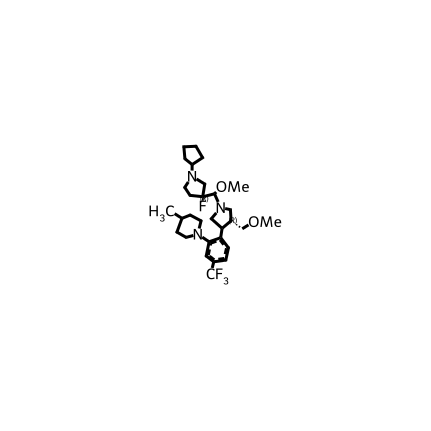 COC[C@H]1CN(C(OC)[C@@]2(F)CCN(C3CCCC3)C2)CC1c1ccc(C(F)(F)F)cc1N1CCC(C)CC1